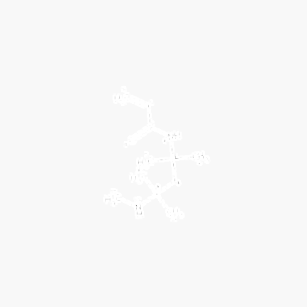 C=CC(=O)NC(C)(C)CC(C)(C)NC